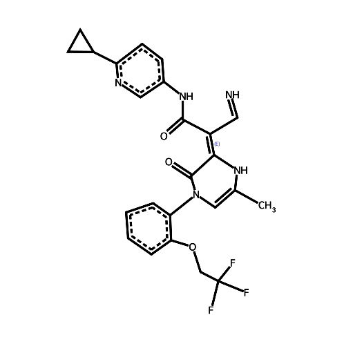 CC1=CN(c2ccccc2OCC(F)(F)F)C(=O)/C(=C(/C=N)C(=O)Nc2ccc(C3CC3)nc2)N1